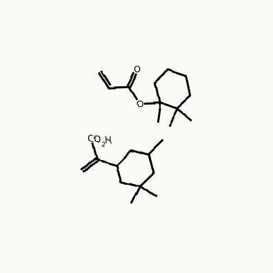 C=C(C(=O)O)C1CC(C)CC(C)(C)C1.C=CC(=O)OC1(C)CCCCC1(C)C